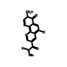 CCCCN(CC)C(=O)c1cnc2c3c(cc(Cl)c2c1)C(=O)C(C(=O)O)C=N3